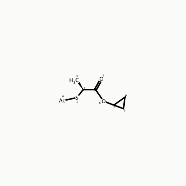 CC(=O)S[C@@H](C)C(=O)OC1CC1